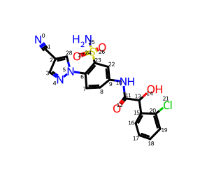 N#Cc1cnn(-c2ccc(NC(=O)C(O)c3ccccc3Cl)cc2S(N)(=O)=O)c1